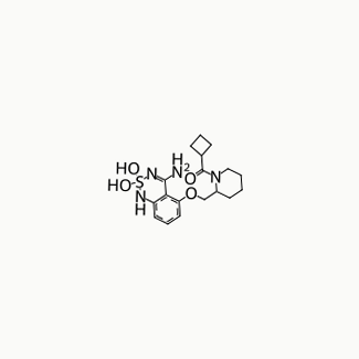 NC1=NS(O)(O)Nc2cccc(OCC3CCCCN3C(=O)C3CCC3)c21